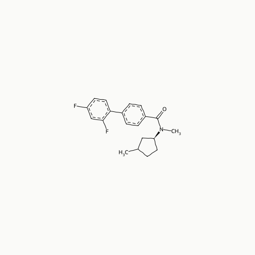 CC1CC[C@H](N(C)C(=O)c2ccc(-c3ccc(F)cc3F)cc2)C1